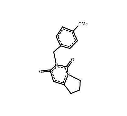 COc1ccc(Cn2c(=O)cc3n(c2=O)CCC3)cc1